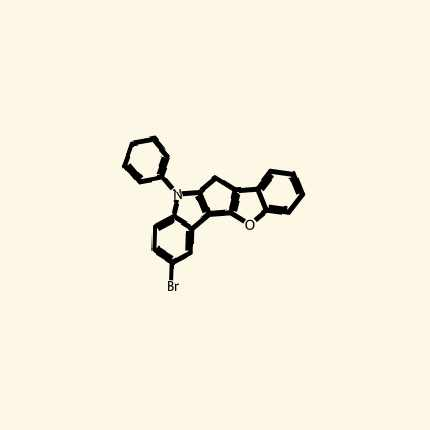 Brc1ccc2c(c1)c1c(n2C2=CCCC=C2)Cc2c-1oc1ccccc21